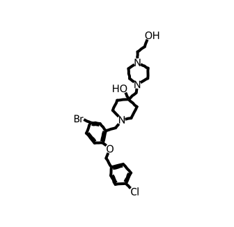 OCCN1CCN(CC2(O)CCN(Cc3cc(Br)ccc3OCc3ccc(Cl)cc3)CC2)CC1